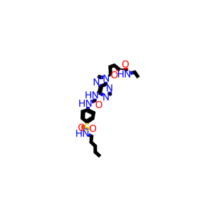 CCCCCNS(=O)(=O)c1ccc(NC(=O)Nc2ncnc3c2ncn3[C@H]2CC[C@@H](C(=O)NCC)O2)cc1